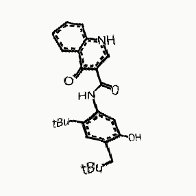 CC(C)(C)Cc1cc(C(C)(C)C)c(NC(=O)c2c[nH]c3ccccc3c2=O)cc1O